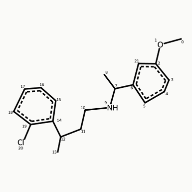 COc1cccc(C(C)NCCC(C)c2ccccc2Cl)c1